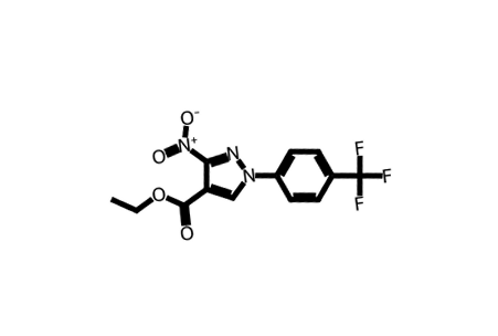 CCOC(=O)c1cn(-c2ccc(C(F)(F)F)cc2)nc1[N+](=O)[O-]